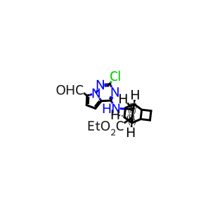 CCOC(=O)[C@H]1[C@H](Nc2nc(Cl)nn3c(C=O)ccc23)[C@@H]2CC[C@H]1C1CCC12